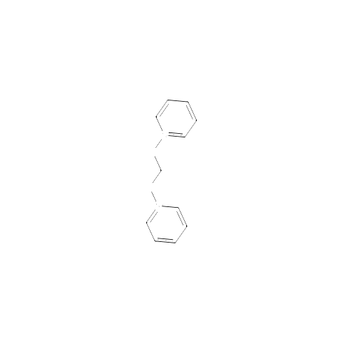 c1cc[n+](OCO[n+]2ccccc2)cc1